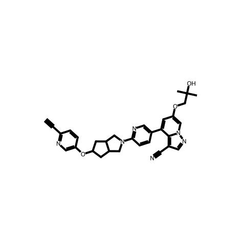 C#Cc1ccc(OC2CC3CN(c4ccc(-c5cc(OCC(C)(C)O)cn6ncc(C#N)c56)cn4)CC3C2)cn1